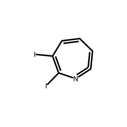 IC1=C(I)N=C=CC=C1